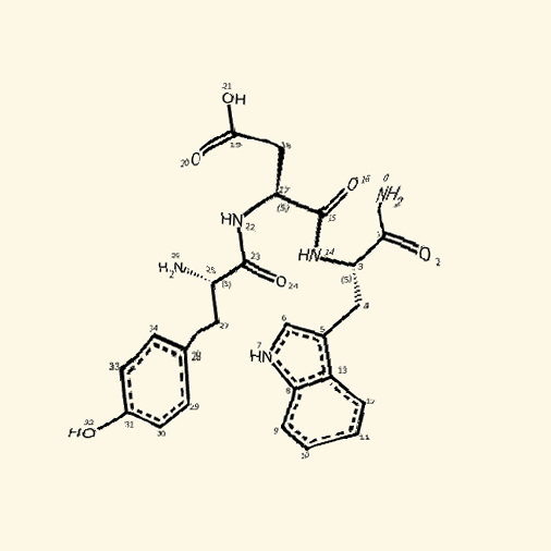 NC(=O)[C@H](Cc1c[nH]c2ccccc12)NC(=O)[C@H](CC(=O)O)NC(=O)[C@@H](N)Cc1ccc(O)cc1